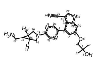 CC(C)(O)COc1cc(-c2cnc(N3C[C@@H]4[C@@H](CN)[C@@H]4C3)cn2)c2c(C#N)cnn2c1